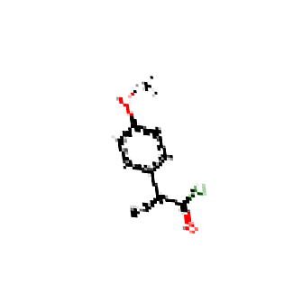 CC(C)C(C(=O)Cl)c1ccc(OC(F)(F)F)cc1